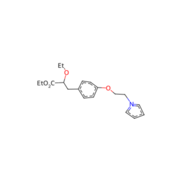 CCOC(=O)C(Cc1ccc(OCCn2cccc2)cc1)OCC